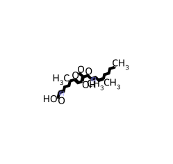 CCCCCC(C)=C/C=C(\C)C(=O)c1c(O)cc(C(C)CC/C=C/C(=O)O)oc1=O